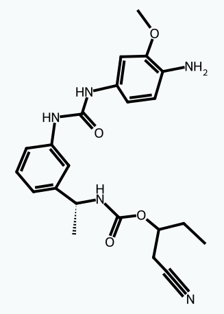 CCC(CC#N)OC(=O)N[C@H](C)c1cccc(NC(=O)Nc2ccc(N)c(OC)c2)c1